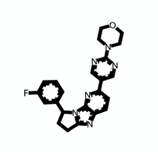 Fc1cccc(C2CCc3nc4ccc(-c5cnc(N6CCOCC6)nc5)nc4n32)c1